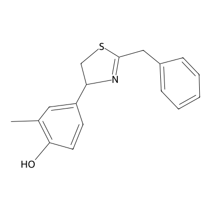 Cc1cc(C2CSC(Cc3ccccc3)=N2)ccc1O